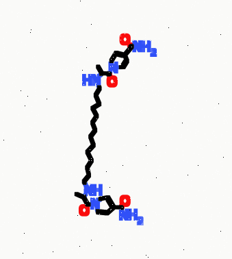 CC(NCCCCCCCCCCCCCCNC(C)C(=O)N1C=CC(C(N)=O)=CC1)C(=O)N1C=CC(C(N)=O)=CC1